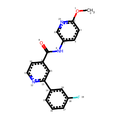 COc1ccc(NC(=O)c2ccnc(-c3cccc(F)c3)c2)cn1